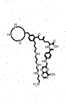 C=C(CCC(NC(=C)c1ccc(NCc2cnc3ncnc(O)c3n2)cc1)C(=O)O)CC(=O)c1cc(CC2CCCNCCNCCCNCC2)ccc1CCCCNCCCNCCNCCCN